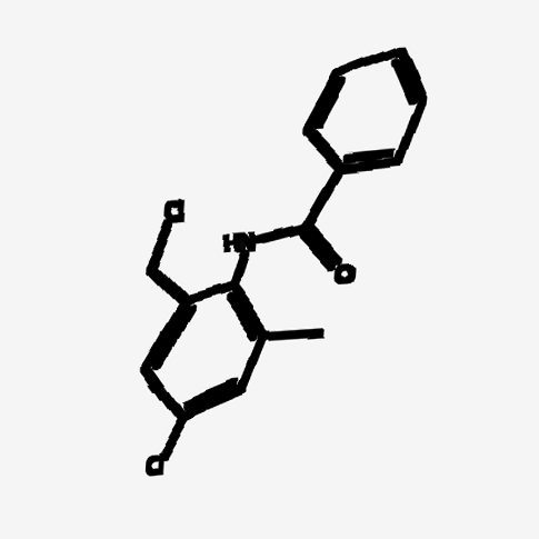 Cc1cc(Cl)cc(CCl)c1NC(=O)c1ccccc1